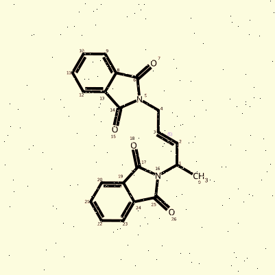 CC(/C=C/CN1C(=O)c2ccccc2C1=O)N1C(=O)c2ccccc2C1=O